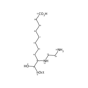 CCCCCCCCC(O)C(CCCCCCCC(=O)O)NCCN